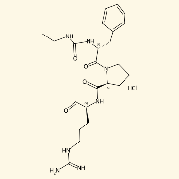 CCNC(=O)N[C@H](Cc1ccccc1)C(=O)N1CCC[C@H]1C(=O)N[C@H](C=O)CCCNC(=N)N.Cl